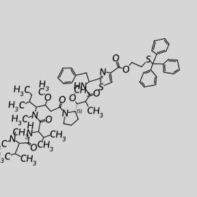 CCC(C)C(C(CC(=O)N1CCC[C@H]1C(OC)C(C)C(=O)NC(Cc1ccccc1)c1nc(C(=O)OCCSC(c2ccccc2)(c2ccccc2)c2ccccc2)cs1)OC)N(C)C(=O)C(NC(=O)C(C(C)C)N(C)C)C(C)C